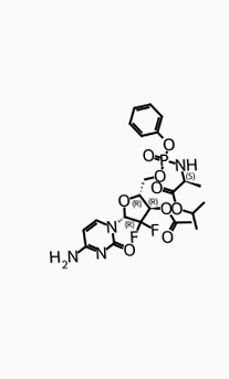 CC(=O)O[C@@H]1[C@@H](COP(=O)(N[C@@H](C)C(=O)OC(C)C)Oc2ccccc2)O[C@@H](n2ccc(N)nc2=O)C1(F)F